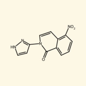 O=c1c2cccc([N+](=O)[O-])c2ccn1-c1cc[nH]n1